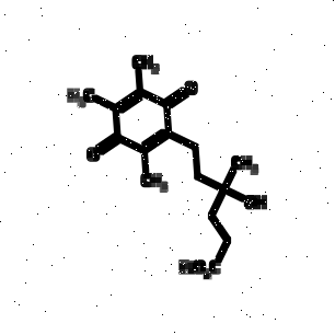 CCOC(=O)CCC(C)(O)CCC1=C(C)C(=O)C(C)=C(C)C1=O